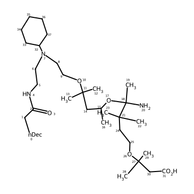 CCCCCCCCCCCC(=O)NCCN(CCOC(C)(C)CC(C)OC(C)(N)C(C)(C)CCOC(C)(C)CC(=O)O)C1CCCCC1